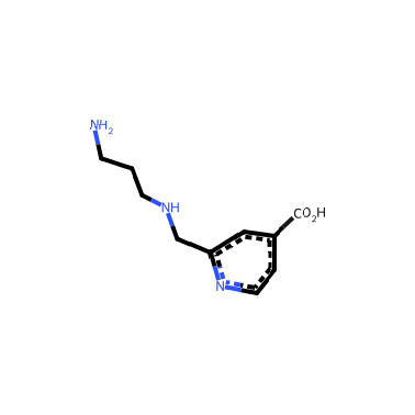 NCCCNCc1cc(C(=O)O)ccn1